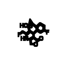 O=C(O)C1=C(CF)NC2=C(C(=O)OC2)C1c1cc(F)ccc1C1CC1